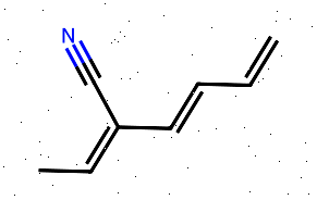 C=CC=CC(C#N)=CC